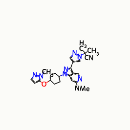 CNc1cc2c(cn1)c(-c1cnn(C(C)(C)C#N)c1)nn2C1CCC(Oc2ccnn2C)CC1